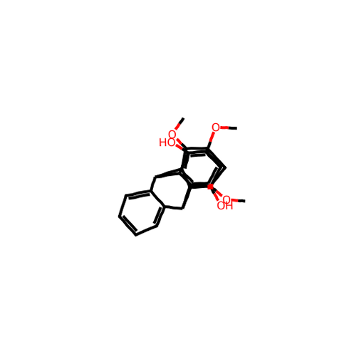 COc1cc(O)c2c(c1O)C1c3ccccc3C2c2c(OC)ccc(OC)c21